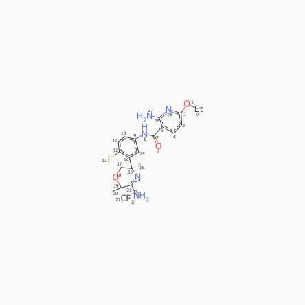 CCOc1ccc(C(=O)Nc2ccc(F)c([C@]3(C)CO[C@@](C)(C(F)(F)F)C(N)=N3)c2)c(N)n1